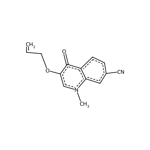 C=CCOc1cn(C)c2cc(C#N)ccc2c1=O